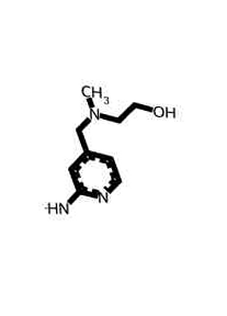 CN(CCO)Cc1ccnc([NH])c1